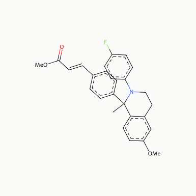 COC(=O)/C=C/c1ccc(C2(C)c3ccc(OC)cc3CCN2c2ccc(F)cc2)cc1